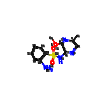 COc1nc(C)cnc1NS(=O)(=O)c1ccccc1N